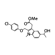 COC(=O)Cc1c(COc2ccc(Cl)cc2)n(C)c2ccc(C(C)O)cc12